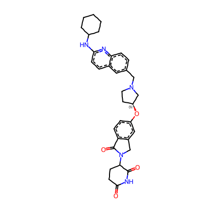 O=C1CCC(N2Cc3cc(O[C@H]4CCN(Cc5ccc6nc(NC7CCCCC7)ccc6c5)C4)ccc3C2=O)C(=O)N1